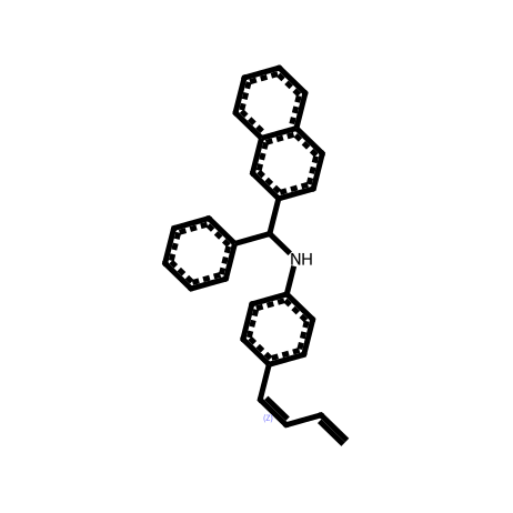 C=C/C=C\c1ccc(NC(c2ccccc2)c2ccc3ccccc3c2)cc1